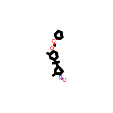 Cc1cc(C(C)(C)c2ccc(OCOc3ccccc3)c(C)c2)ccc1N=O